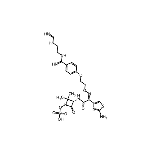 CC1(C)[C@H](NC(=O)/C(=N\OCCOc2ccc(C(=N)NCCNC=N)cc2)c2csc(N)n2)C(=O)N1OS(=O)(=O)O